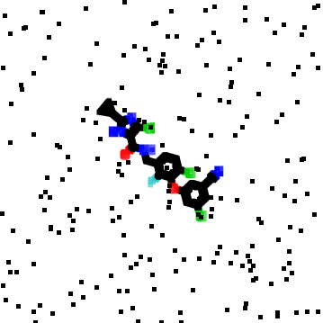 N#Cc1cc(Cl)cc(Oc2c(Cl)ccc(CNC(=O)c3[nH]c(C4CC4)nc3Cl)c2F)c1